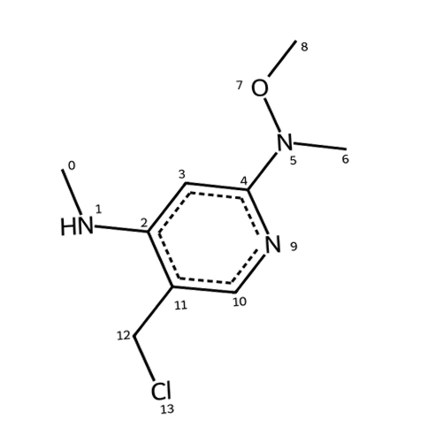 CNc1cc(N(C)OC)ncc1CCl